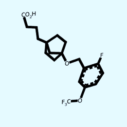 O=C(O)CCCC12CCC(OCc3cc(OC(F)(F)F)ccc3F)(CC1)C2